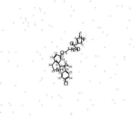 Cn1cc(S(=O)(=O)NCCOc2ccc3c(c2)C(C2(c4ccc(Cl)cc4)CC2)NCC3)cn1